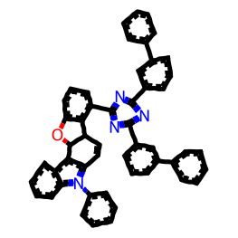 C1=CC2c3c(cccc3-c3nc(-c4cccc(-c5ccccc5)c4)nc(-c4cccc(-c5ccccc5)c4)n3)OC2c2c1n(-c1ccccc1)c1ccccc21